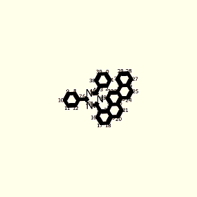 c1ccc(-c2nc(-c3ccccc3)nc(-c3cccc4ccc5c6ccc7ccccc7c6ccc5c34)n2)cc1